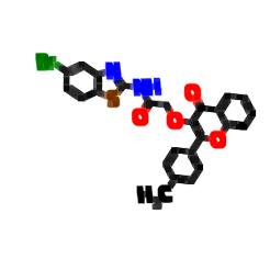 Cc1ccc(-c2oc3ccccc3c(=O)c2OCC(=O)Nc2nc3cc(Br)ccc3s2)cc1